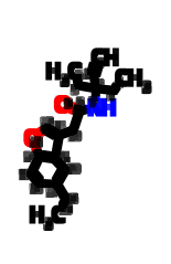 C#CC(CC)(CC)NC(=O)Cc1coc2ccc(CC)cc12